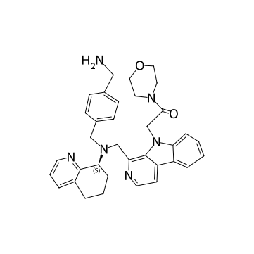 NCc1ccc(CN(Cc2nccc3c4ccccc4n(CC(=O)N4CCOCC4)c23)[C@H]2CCCc3cccnc32)cc1